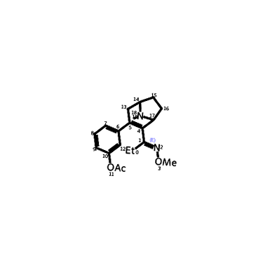 CC/C(=N\OC)C1=C(c2cc[c]c(OC(C)=O)c2)CC2CCC1N2C